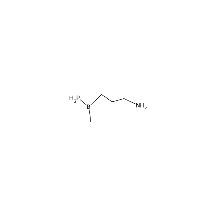 NCCCB(P)I